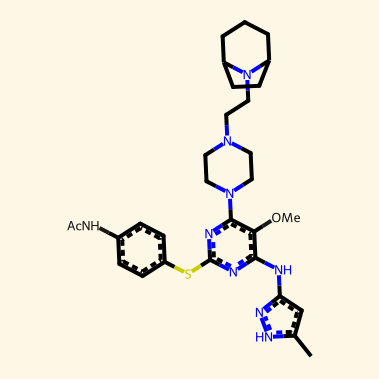 COc1c(Nc2cc(C)[nH]n2)nc(Sc2ccc(NC(C)=O)cc2)nc1N1CCN(CCN2C3CCCC2CC3)CC1